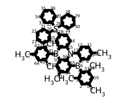 Cc1cc(C)c(B2c3cc(C)ccc3N3c4ccc(S(c5ccccc5)(c5ccccc5)c5ccccc5)cc4B(c4c(C)cc(C)cc4C)c4cc(C)cc2c43)c(C)c1